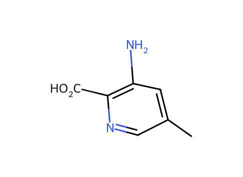 Cc1cnc(C(=O)O)c(N)c1